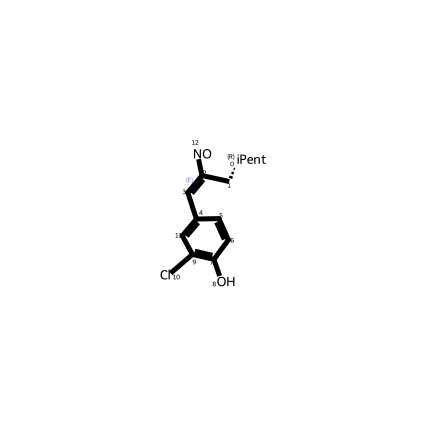 CCC[C@@H](C)C/C(=C\c1ccc(O)c(Cl)c1)N=O